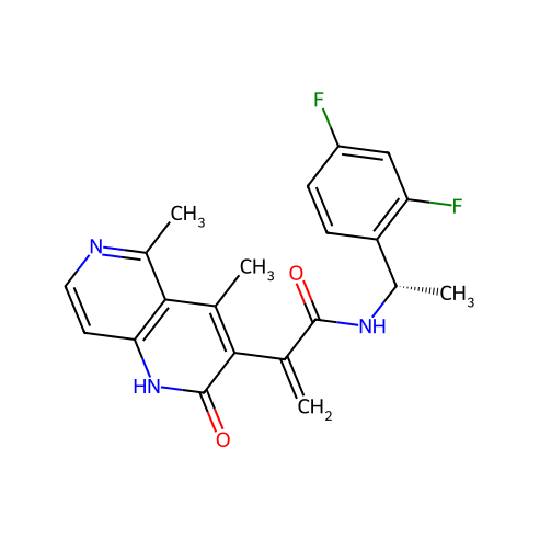 C=C(C(=O)N[C@@H](C)c1ccc(F)cc1F)c1c(C)c2c(C)nccc2[nH]c1=O